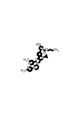 CCCCOC(=O)N1C[C@H](O)CC1c1ccc2c(=O)c(CN(Cc3ccnc(C)c3)[C@H]3CCCN(c4ccc(C)nc4)C3)cn(C3CC3)c2c1